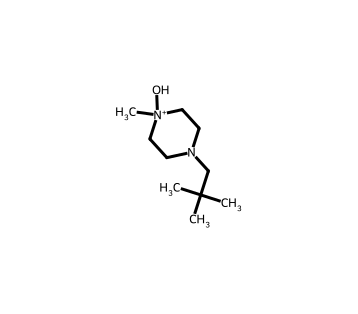 CC(C)(C)CN1CC[N+](C)(O)CC1